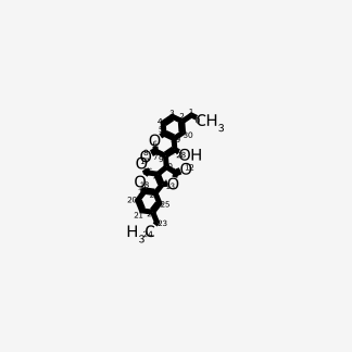 CCc1ccc2oc(=O)c(C3C(=O)Oc4c3c(=O)oc3ccc(CC)cc43)c(O)c2c1